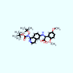 COc1ccc(OC)c(C(Nc2ccc3c(N(OC(C)(C)C)C(=O)OC(C)(C)C)nccc3c2)C(=O)O)c1